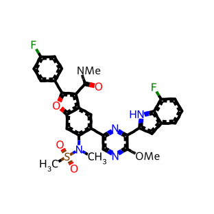 CNC(=O)c1c(-c2ccc(F)cc2)oc2cc(N(C)S(C)(=O)=O)c(-c3cnc(OC)c(-c4cc5cccc(F)c5[nH]4)n3)cc12